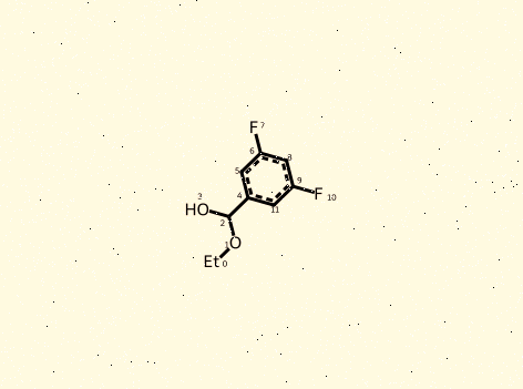 CCOC(O)c1cc(F)cc(F)c1